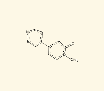 Cn1ccc(-c2ccnnc2)cc1=O